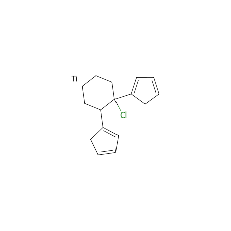 ClC1(C2=CC=CC2)CCCCC1C1=CC=CC1.[Ti]